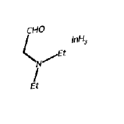 CCN(CC)CC=O.[InH3]